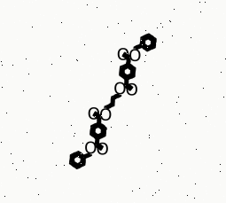 O=C(OCCCCOC(=O)c1ccc(C(=O)OCc2ccccc2)cc1)c1ccc(C(=O)OCc2ccccc2)cc1